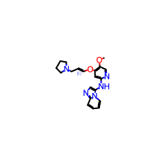 COc1cnc(Nc2cnc3ccccn23)cc1O/C=C/CN1CCCC1